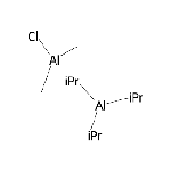 C[CH](C)[Al]([CH](C)C)[CH](C)C.[CH3][Al]([CH3])[Cl]